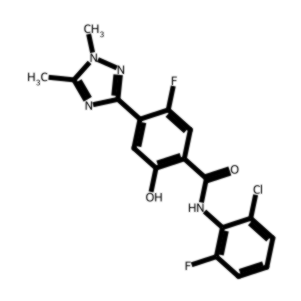 Cc1nc(-c2cc(O)c(C(=O)Nc3c(F)cccc3Cl)cc2F)nn1C